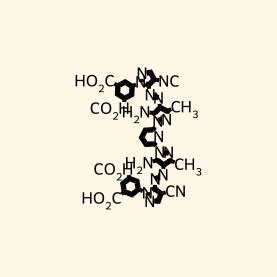 [C-]#[N+]c1cnn(-c2cc(C(=O)O)cc(C(=O)O)c2)c1N=Nc1c(C)nn(-c2cccc(-n3nc(C)c(N=Nc4c(C#N)cnn4-c4cc(C(=O)O)cc(C(=O)O)c4)c3N)n2)c1N